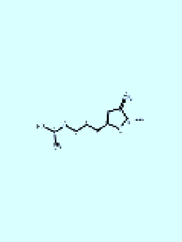 C=C1C[C@H](CCCOP(P)P)O[C@H]1C(C)C